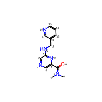 CN(C)C(=O)c1cncc(NCc2cccnc2)n1